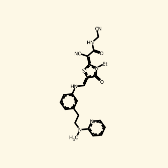 CCn1c(=C(C#N)C(=O)NCC#N)sc(=CNc2cccc(CCN(C)c3ccccn3)c2)c1=O